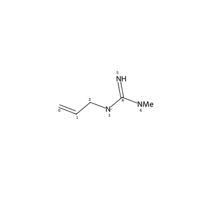 C=CC[N]C(=N)NC